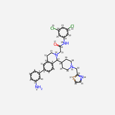 Nc1cccc(-c2ccc3c(c2)CCN(CC(=O)Nc2cc(Cl)cc(Cl)c2)C3C2CCN(Cc3nccs3)CC2)c1